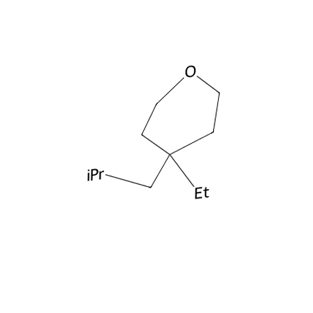 CCC1(CC(C)C)CCOCC1